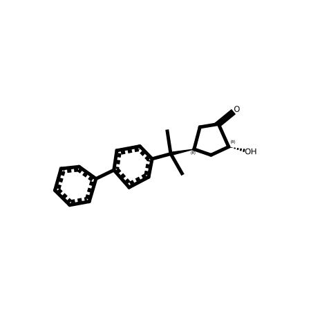 CC(C)(c1ccc(-c2ccccc2)cc1)[C@H]1CC(=O)[C@H](O)C1